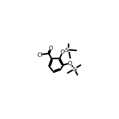 C[Si](C)(C)Oc1cccc(C(=O)Cl)c1O[Si](C)(C)C